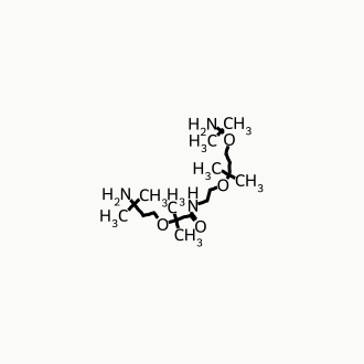 CC(C)(N)CCOC(C)(C)C(=O)NCCOC(C)(C)CCOC(C)(C)N